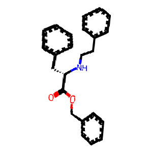 O=C(OCc1ccccc1)[C@H](Cc1ccccc1)NCCc1ccccc1